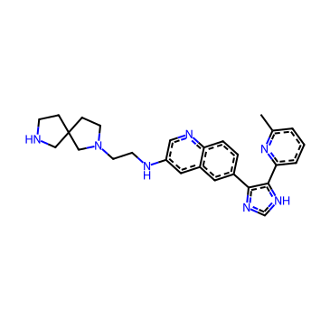 Cc1cccc(-c2[nH]cnc2-c2ccc3ncc(NCCN4CCC5(CCNC5)C4)cc3c2)n1